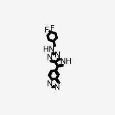 FC1(F)CCC(CNc2ncc3c(-c4ccc5ncncc5c4)c[nH]c3n2)CC1